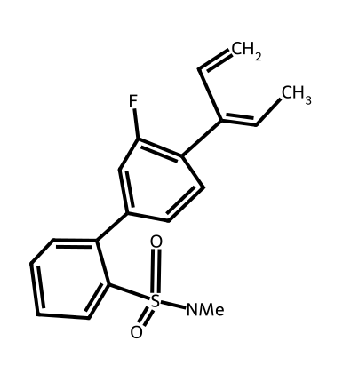 C=C/C(=C\C)c1ccc(-c2ccccc2S(=O)(=O)NC)cc1F